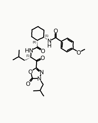 COc1ccc(C(=O)N[C@H]2CCCC[C@H]2C(=O)N[C@@H](CC(C)C)C(=O)c2nn(CC(C)C)c(=O)o2)cc1